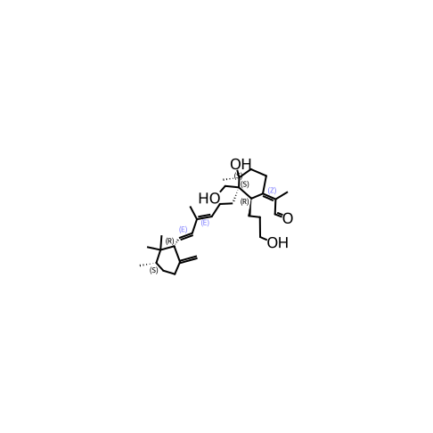 C=C1CC[C@H](C)C(C)(C)[C@@H]1/C=C/C(C)=C/CC[C@@]1(CO)[C@H](CCCO)/C(=C(/C)C=O)CC[C@]1(C)O